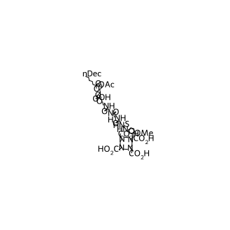 CCCCCCCCCCCCCCCC(=O)OC(COC(C)=O)COP(=O)(O)OCCNC(=O)CNC(=O)CNC(=O)CNC(=S)Nc1ccc(OC)c(C(C(=O)O)N2CCN(CC(=O)O)CCN(CC(=O)O)CCN(CC(=O)O)CC2)c1